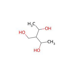 CC(O)C(CO)C(C)O